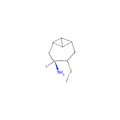 CSC1CC2C3C(C[C@@]1(N)I)C23